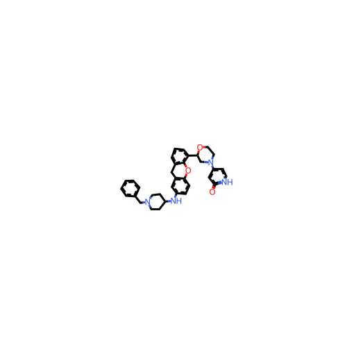 O=c1cc(N2CCOC(c3cccc4c3Oc3ccc(NC5CCN(Cc6ccccc6)CC5)cc3C4)C2)cc[nH]1